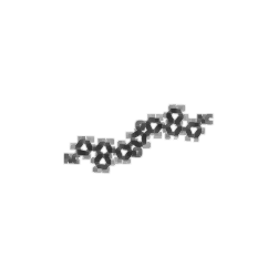 [C-]#[N+]c1cccc(-c2ccc(-c3ccc4oc5cc6c(cc5c4c3)oc3ccc(-c4ccc(-c5cccc(C#N)c5)c5ccccc45)cc36)c3ccccc23)c1